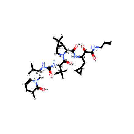 C=CCNC(=O)C(=O)C(CC1CC1)NC(=O)[C@@H]1C2C(CN1C(=O)[C@@H](NC(=O)N[C@H](CN1C=CCC(C)C1=O)C(C)C)C(C)(C)C)C2(C)C